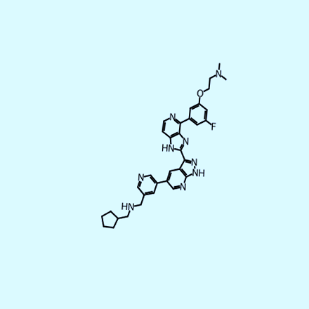 CN(C)CCOc1cc(F)cc(-c2nccc3[nH]c(-c4n[nH]c5ncc(-c6cncc(CNCC7CCCC7)c6)cc45)nc23)c1